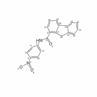 O=C(Nc1ccc([N+](=O)[O-])cc1)c1cccc2c1Cc1ccccc1-2